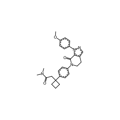 COc1ccc(-n2ncc3c2C(=O)N(c2ccc(C4(CC(=O)N(C)C)CCC4)cc2)CC3)cc1